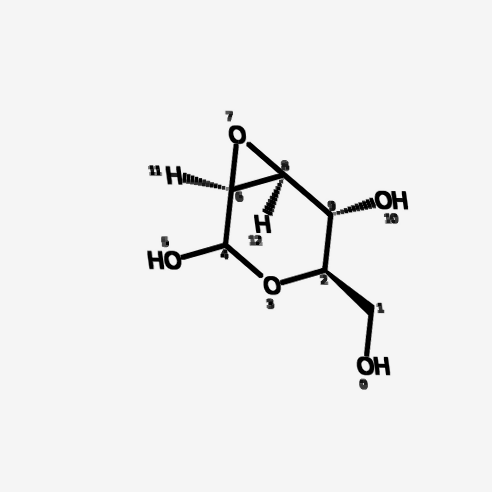 OC[C@H]1OC(O)[C@H]2O[C@H]2[C@@H]1O